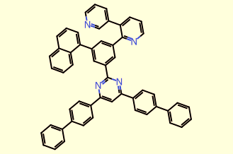 c1ccc(-c2ccc(-c3cc(-c4ccc(-c5ccccc5)cc4)nc(-c4cc(-c5ncccc5-c5cccnc5)cc(-c5cccc6ccccc56)c4)n3)cc2)cc1